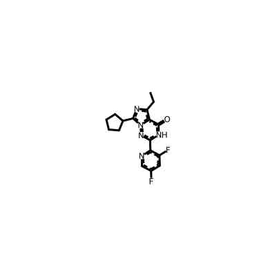 CCc1nc(C2CCCC2)n2nc(-c3ncc(F)cc3F)[nH]c(=O)c12